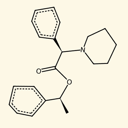 C[C@H](OC(=O)[C@@H](c1ccccc1)N1CCCCC1)c1ccccc1